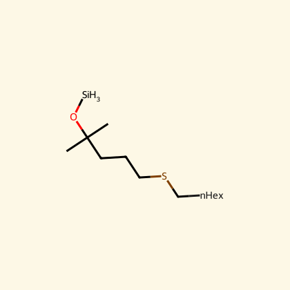 CCCCCCCSCCCC(C)(C)O[SiH3]